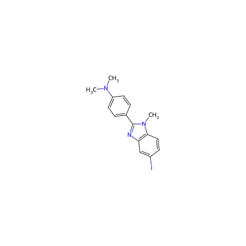 CN(C)c1ccc(-c2nc3cc(I)ccc3n2C)cc1